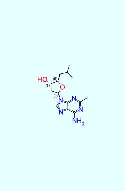 Cc1nc(N)c2ncn([C@H]3C[C@H](O)[C@@H](CC(C)C)O3)c2n1